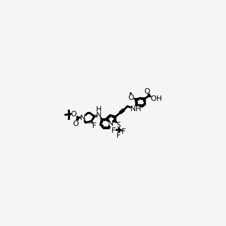 COc1cc(C(=O)O)ccc1NCC#Cc1cc2c(N[C@@H]3CCN(C(=O)OC(C)(C)C)C[C@@H]3F)cccn2c1SC(F)(F)F